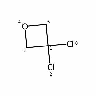 ClC1(Cl)COC1